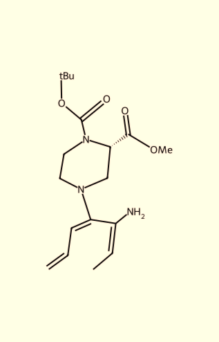 C=C/C=C(\C(N)=C/C)N1CCN(C(=O)OC(C)(C)C)[C@H](C(=O)OC)C1